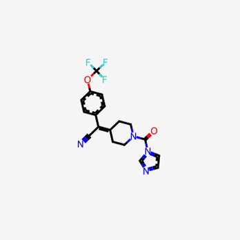 N#CC(=C1CCN(C(=O)n2ccnc2)CC1)c1ccc(OC(F)(F)F)cc1